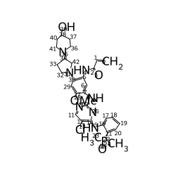 C=CC(=O)Nc1cc(Nc2ncc(Cl)c(Nc3ccccc3P(C)(C)=O)n2)c(OC)cc1N1CCC(N2CCC(O)CC2)C1